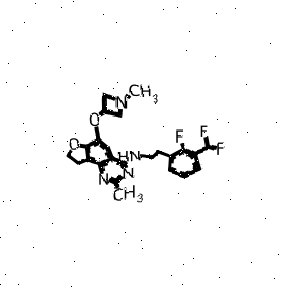 Cc1nc(NCCc2cccc(C(F)F)c2F)c2cc(OC3CN(C)C3)c3c(c2n1)CCO3